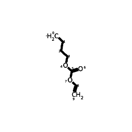 [CH2]CCCOC(=O)OC=C